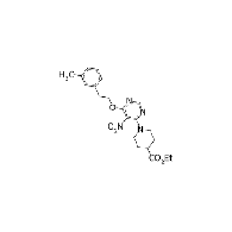 CCOC(=O)C1CCN(c2ncnc(OCCc3cccc(C)c3)c2[N+](=O)[O-])CC1